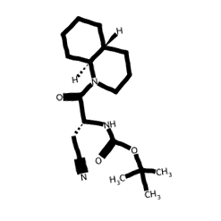 CC(C)(C)OC(=O)N[C@H](CC#N)C(=O)N1CCC[C@H]2CCCC[C@@H]21